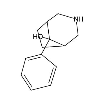 OC1(c2ccccc2)C2CCC1CNC2